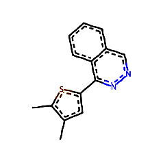 Cc1cc(-c2nncc3ccccc23)sc1C